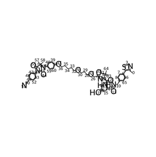 Cc1ncsc1-c1ccc(CNC(=O)[C@@H]2C[C@@H](O)CN2C(=O)[C@@H](NC(=O)COCCCOCCCCCOc2ccc(N3C(=O)N(c4ccc(C#N)cc4)C(=O)C3(C)C)cc2)C(C)(C)C)cc1